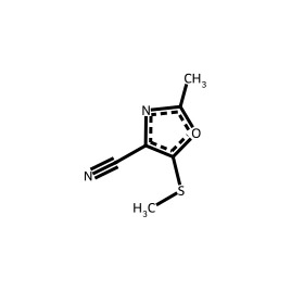 CSc1oc(C)nc1C#N